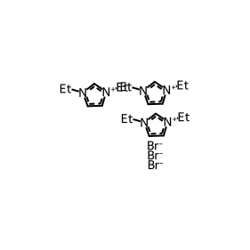 CCn1cc[n+](CC)c1.CCn1cc[n+](CC)c1.CCn1cc[n+](CC)c1.[Br-].[Br-].[Br-]